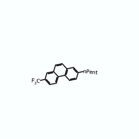 CCCCCc1ccc2c(ccc3cc(C(F)(F)F)ccc32)c1